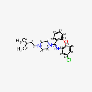 CC(C)CCN1CCN(C2=Nc3cc(Cl)ccc3Oc3ccccc32)CC1